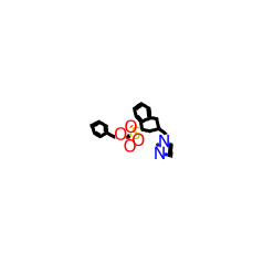 O=C(OCc1ccccc1)S(=O)(=O)C1CC(Cn2ccnc2)Cc2ccccc21